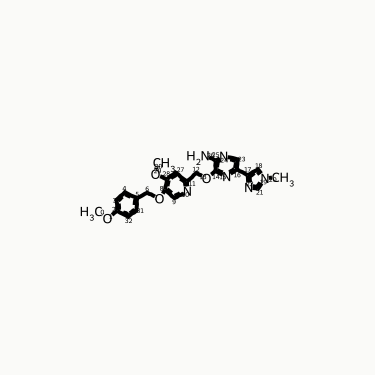 COc1ccc(COc2cnc(COc3nc(-c4cn(C)cn4)cnc3N)cc2OC)cc1